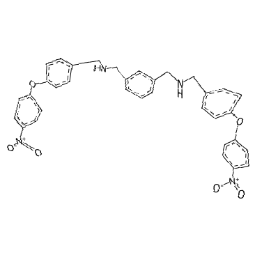 O=[N+]([O-])c1ccc(Oc2ccc(CNCc3cccc(CNCc4ccc(Oc5ccc([N+](=O)[O-])cc5)cc4)c3)cc2)cc1